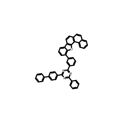 c1ccc(-c2ccc(-c3nc(-c4ccccc4)nc(-c4cccc(-c5cccc6c5oc5c6ccc6ccc7ccccc7c65)c4)n3)cc2)cc1